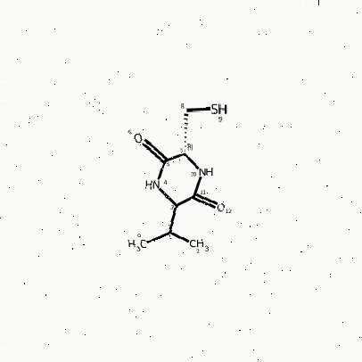 CC(C)C1NC(=O)[C@H](CS)NC1=O